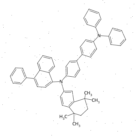 CC1(C)CCC(C)(C)c2cc(N(c3ccc(-c4ccc(N(c5ccccc5)c5ccccc5)cc4)cc3)c3ccc(-c4ccccc4)c4ccccc34)ccc21